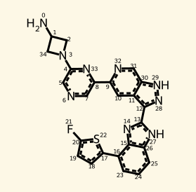 NC1CN(c2cncc(-c3cc4c(-c5nc6c(-c7ccc(F)s7)cccc6[nH]5)n[nH]c4cn3)n2)C1